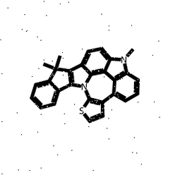 Cn1c2cccc3c4ccsc4n4c5c(c6ccc1c(c32)c64)C(C)(C)c1ccccc1-5